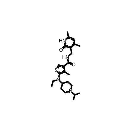 CCN(c1scc(C(=O)NCc2c(C)cc(C)[nH]c2=O)c1C)C1CCN(C(C)C)CC1